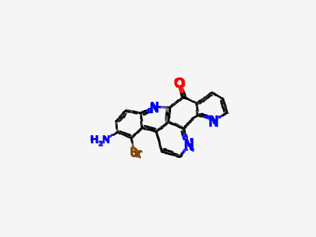 Nc1ccc2nc3c4c(nccc4c2c1Br)-c1ncccc1C3=O